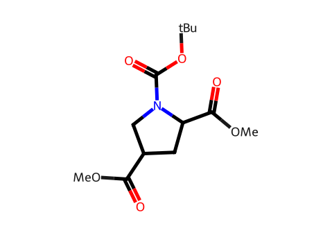 COC(=O)C1CC(C(=O)OC)N(C(=O)OC(C)(C)C)C1